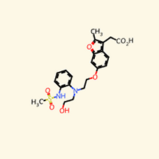 Cc1oc2cc(OCCN(CCO)c3ccccc3NS(C)(=O)=O)ccc2c1CC(=O)O